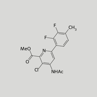 COC(=O)c1nc(-c2ccc(C)c(F)c2F)cc(NC(C)=O)c1Cl